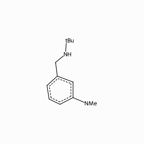 CNc1cccc(CNC(C)(C)C)c1